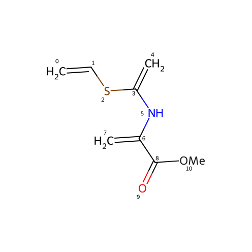 C=CSC(=C)NC(=C)C(=O)OC